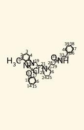 Cc1cccc2c1nc(C(Cl)Oc1ccccc1)n2CCCN1CCCCC1CCC(=O)NCCc1ccccc1